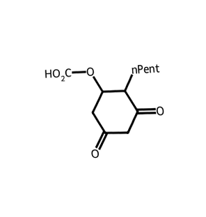 CCCCCC1C(=O)CC(=O)CC1OC(=O)O